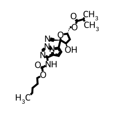 CCCCCOC(=O)Nc1ncnn2c([C@]3(C#N)O[C@H](COC(=O)C(C)C)C[C@H]3O)ccc12